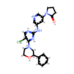 O=C1CCCN1c1cncc(Nc2ncc(Cl)c(N3CCOC(c4ccccc4)C3)n2)c1